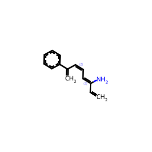 C=C/C(N)=C/C=C\C(=C)c1ccccc1